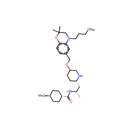 COCCCN1CC(C)(C)Oc2ccc(CO[C@@H]3CC[C@@H](C[C@H](C)NC(=O)[C@H]4CC[C@H](OC)CC4)NC3)cc21